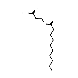 CCCCCCCCCC(=O)SCCC(=O)O